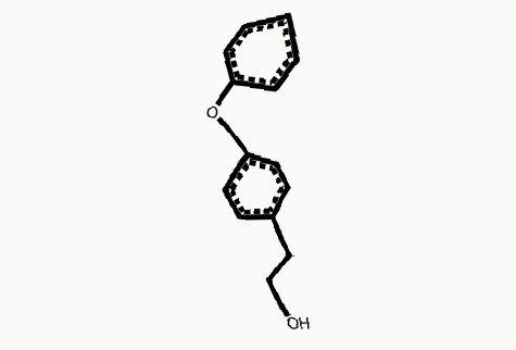 OC[CH]c1ccc(Oc2ccccc2)cc1